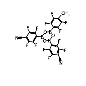 Cc1c(F)c(F)c(B2OB(c3c(F)c(F)c(C#N)c(F)c3F)OB(c3c(F)c(F)c(C#N)c(F)c3F)O2)c(F)c1F